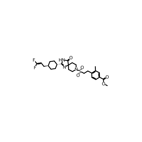 COC(=O)c1ccc(CCS(=O)(=O)N2CCC3(CC2)N=C([C@H]2CC[C@H](CC=C(F)F)CC2)NC3=O)c(C)c1